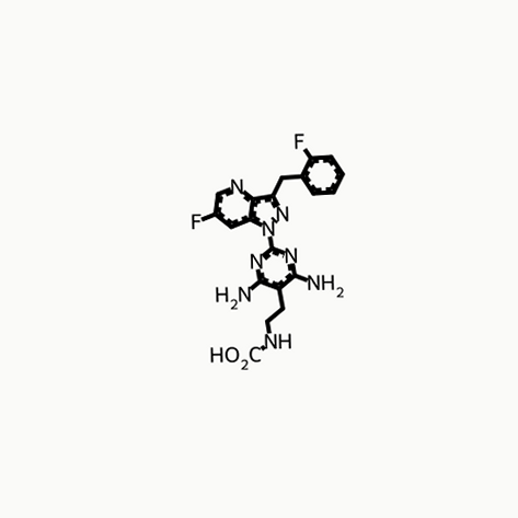 Nc1nc(-n2nc(Cc3ccccc3F)c3ncc(F)cc32)nc(N)c1CCNC(=O)O